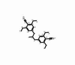 CCc1cc(CC(C)Cc2cc(CC)c(C#N)c(CC)c2)cc(CC)c1C#N